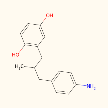 CC(Cc1ccc(N)cc1)Cc1cc(O)ccc1O